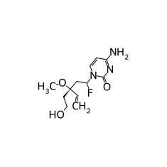 C=C[C@@](CCO)(CC(F)n1ccc(N)nc1=O)OC